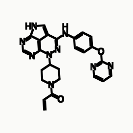 C=CC(=O)N1CCC(N2N=C(Nc3ccc(Oc4ncccn4)cc3)c3c[nH]c4ncnc2c34)CC1